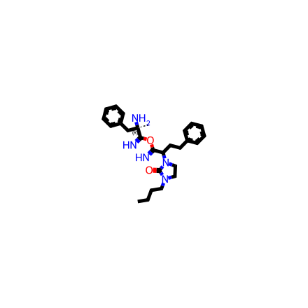 CCCCN1CCN(C(CCc2ccccc2)C(=N)OC(=N)[C@](C)(N)Cc2ccccc2)C1=O